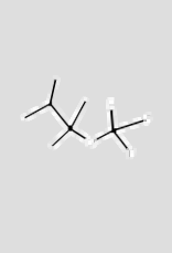 CC(C)C(C)(C)OC(F)(F)F